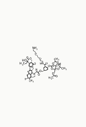 CC[C@@]1(O)C(=O)OCc2c1cc1n(c2=O)Cc2c-1nc1cc(F)c(C)c3c1c2[C@@H](NC(=O)OCc1ccc(O[C@@H]2O[C@H](COC(C)=O)[C@@H](OC(C)=O)[C@H](O)[C@H]2OC(C)=O)c(C(=O)NCCOCCOCCN)c1)CC3